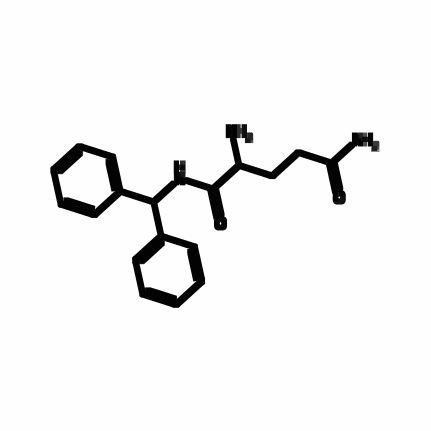 NC(=O)CCC(N)C(=O)NC(c1ccccc1)c1ccccc1